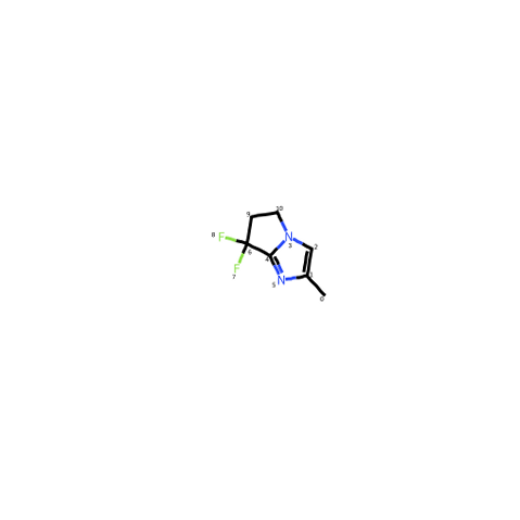 Cc1cn2c(n1)C(F)(F)CC2